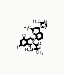 Cc1cc(-n2ncnc2C)c2cccc(OCc3c(Cl)cc(F)cc3[C@H](C)NC(=O)C(C)(F)F)c2n1